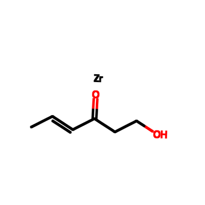 CC=CC(=O)CCO.[Zr]